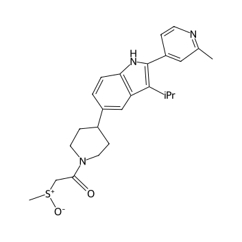 Cc1cc(-c2[nH]c3ccc(C4CCN(C(=O)C[S+](C)[O-])CC4)cc3c2C(C)C)ccn1